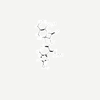 CON=C(C(=O)N[C@@H]1C(=O)N2C(C(=O)O)=C(COC(C)=O)CS[C@H]12)c1nc(N)sc1Cl